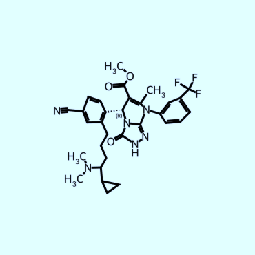 COC(=O)C1=C(C)N(c2cccc(C(F)(F)F)c2)c2n[nH]c(=O)n2[C@@H]1c1ccc(C#N)cc1CCCC(C1CC1)N(C)C